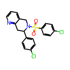 O=S(=O)(c1ccc(Cl)cc1)N1Cc2cccnc2CC1c1ccc(Cl)cc1